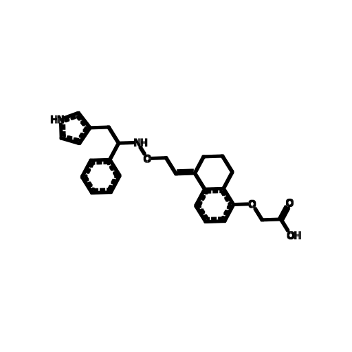 O=C(O)COc1cccc2c1CCCC2=CCONC(Cc1cc[nH]c1)c1ccccc1